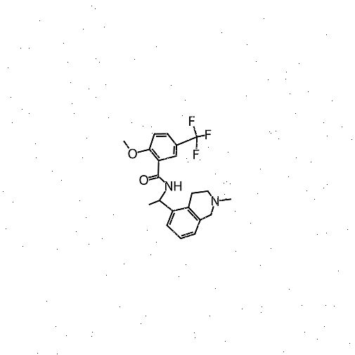 COc1ccc(C(F)(F)F)cc1C(=O)NC(C)c1cccc2c1CCN(C)C2